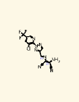 N#C/C(N)=C(C#N)/N=C/c1cnn(-c2ncc(C(F)(F)F)cc2Cl)n1